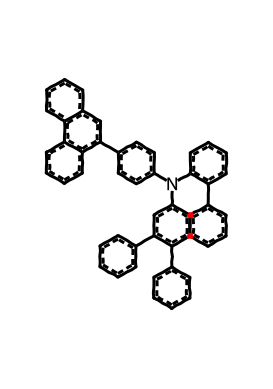 c1ccc(-c2ccc(N(c3ccc(-c4cc5ccccc5c5ccccc45)cc3)c3ccccc3-c3ccccc3)cc2-c2ccccc2)cc1